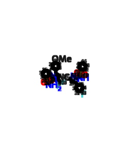 COc1ccc(-c2cc(C(F)F)nn2-c2ccccc2S(N)(=O)=O)cc1.N#Cc1cc(-c2ccc(F)cc2)n(NS(=O)(=O)c2ccccc2)n1